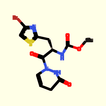 CC(C)(C)OC(=O)N[C@@H](Cc1nc(Br)cs1)C(=O)N1C=CCC(=O)N1